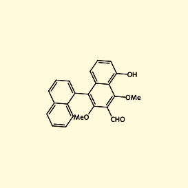 COc1c(C=O)c(OC)c2c(O)cccc2c1-c1cccc2ccccc12